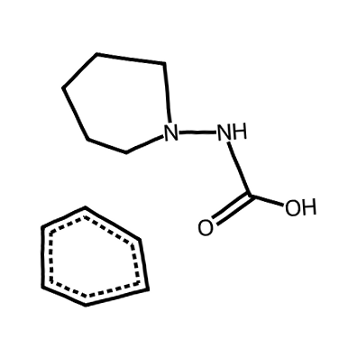 O=C(O)NN1CCCCC1.c1ccccc1